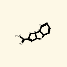 O=C(O)C1=CC2SC3C=CC=CC3C2C1